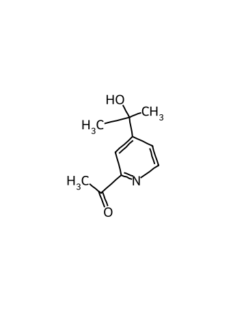 CC(=O)c1cc(C(C)(C)O)ccn1